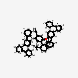 N#Cc1cc(-n2c3ccccc3c3cc(-c4cccnc4-c4ccccc4)ccc32)c(-c2c(C(F)(F)F)cccc2C(F)(F)F)cc1-n1c2ccccc2c2cc(-c3cccnc3-c3ccccc3)ccc21